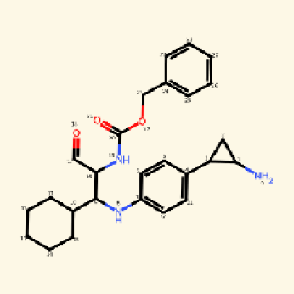 NC1CC1c1ccc(NC(C2CCCCC2)C(C=O)NC(=O)OCc2ccccc2)cc1